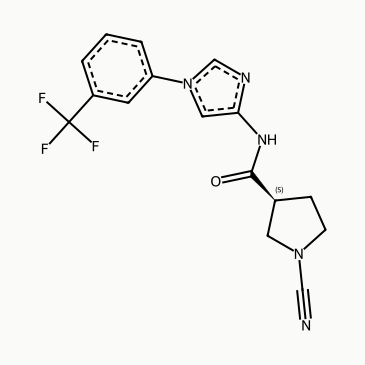 N#CN1CC[C@H](C(=O)Nc2cn(-c3cccc(C(F)(F)F)c3)cn2)C1